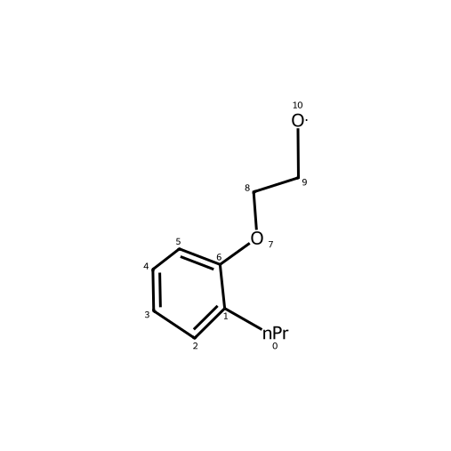 CCCc1ccccc1OCC[O]